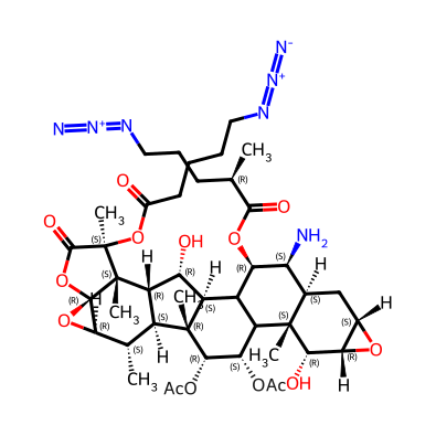 CC(=O)O[C@H]1C2C([C@@H](OC(=O)[C@H](C)CCCN=[N+]=[N-])[C@@H](N)[C@H]3C[C@@H]4O[C@@H]4[C@H](O)[C@]23C)[C@@H]2[C@@H](O)[C@@H]3[C@H]([C@H](C)[C@H]4O[C@]45OC(=O)[C@@](C)(OC(=O)CCCCN=[N+]=[N-])[C@]35C)[C@@]2(C)[C@H]1OC(C)=O